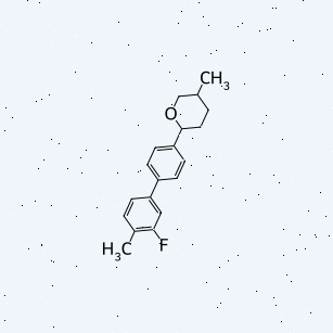 Cc1ccc(-c2ccc(C3CCC(C)CO3)cc2)cc1F